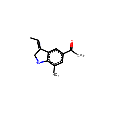 C/C=C1\CNc2c1cc(C(=O)OC)cc2[N+](=O)[O-]